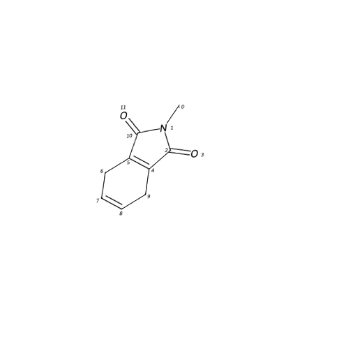 [CH2]N1C(=O)C2=C(CC=CC2)C1=O